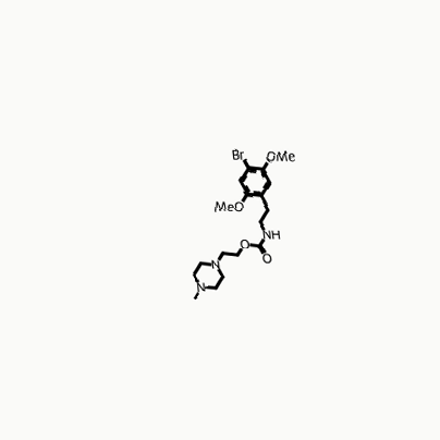 COc1cc(CCNC(=O)OCCN2CCN(C)CC2)c(OC)cc1Br